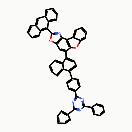 c1ccc(-c2nc(-c3ccccc3)nc(-c3ccc(-c4ccc(-c5cc6oc(-c7c8ccccc8cc8ccccc78)nc6c6c5oc5ccccc56)c5ccccc45)cc3)n2)cc1